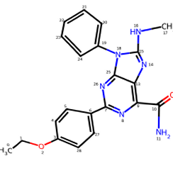 CCOc1ccc(-c2nc(C(N)=O)c3nc(NC)n(-c4ccccc4)c3n2)cc1